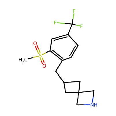 CS(=O)(=O)c1cc(C(F)(F)F)ccc1CC1CC2(CNC2)C1